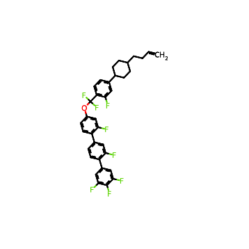 C=CCCC1CCC(c2ccc(C(F)(F)Oc3ccc(-c4ccc(-c5cc(F)c(F)c(F)c5)c(F)c4)c(F)c3)c(F)c2)CC1